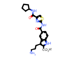 NCCCc1c(C(=O)O)[nH]c2ccc(C(=O)Nc3nc(C(=O)NC4CCCC4)cs3)cc12